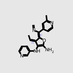 C=N/C(c1ccnc(C)c1)=c1/oc(N)c(Nc2cccnc2)/c1=C/C